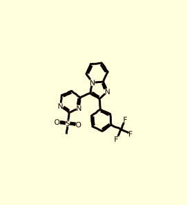 CS(=O)(=O)c1nccc(-c2c(-c3cccc(C(F)(F)F)c3)nc3ccccn23)n1